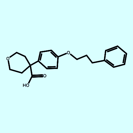 O=C(O)C1(c2ccc(OCCCc3ccccc3)cc2)CCOCC1